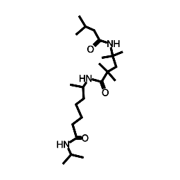 CC(C)CC(=O)NC(C)(C)CC(C)(C)C(=O)NC(C)CCCCC(=O)NC(C)C